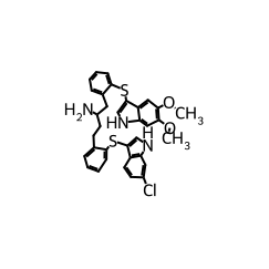 COc1cc2[nH]cc(Sc3ccccc3CC(N)CCc3ccccc3Sc3c[nH]c4cc(Cl)ccc34)c2cc1OC